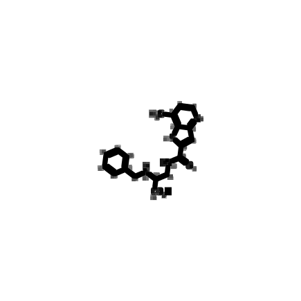 Cc1ccnc2cc(C(=O)NCC(NCc3ccccc3)C(=O)O)sc12